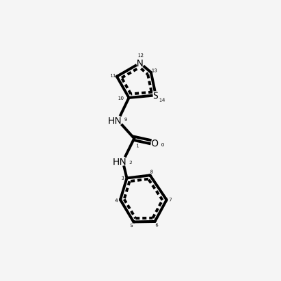 O=C(Nc1ccccc1)Nc1cncs1